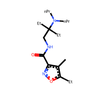 CCCN(CCC)C(CC)(CC)CNC(=O)c1noc(CC)c1C